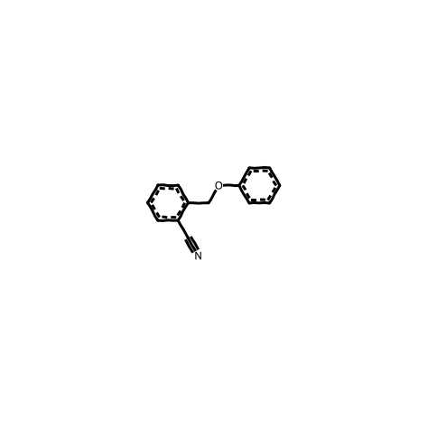 N#Cc1ccccc1COc1ccccc1